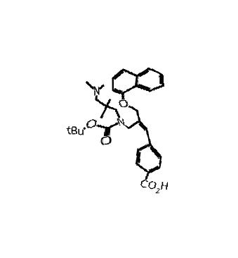 CN(C)CC(C)(C)CN(C/C(=C\c1ccc(C(=O)O)cc1)COc1cccc2ccccc12)C(=O)OC(C)(C)C